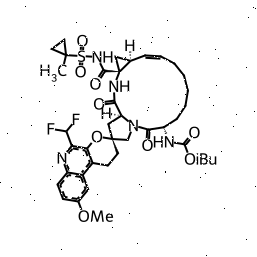 COc1ccc2nc(C(F)F)c3c(c2c1)CC[C@]1(C[C@H]2C(=O)N[C@]4(C(=O)NS(=O)(=O)C5(C)CC5)C[C@H]4/C=C\CCCCC[C@H](NC(=O)OCC(C)C)C(=O)N2C1)O3